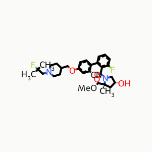 COC(=O)[C@]1(C)C[C@@H](O)CN1C(=O)c1c(F)cccc1-c1ccc(OCC2CCN(CC(C)(C)F)CC2)cc1C#N